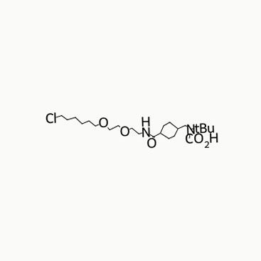 CC(C)(C)N(CC1CCC(C(=O)NCCOCCOCCCCCCCl)CC1)C(=O)O